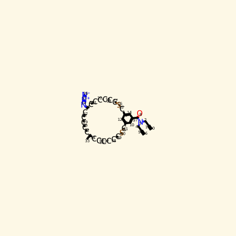 C#CCN(CC#C)C(=O)c1cc2cc(c1)CSCCCCCCC(N=[N+]=[N-])CCCCCC(C)CCCCCCSC2